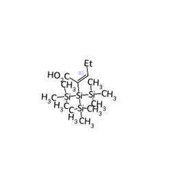 CC/C=C(\C(=O)O)[Si]([Si](C)(C)C)([Si](C)(C)C)[Si](C)(C)C